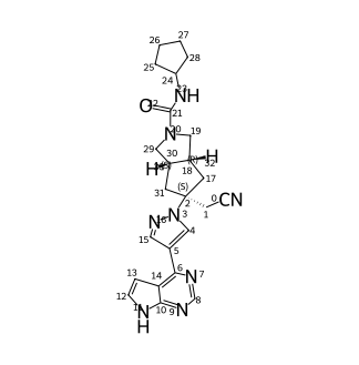 N#CC[C@@]1(n2cc(-c3ncnc4[nH]ccc34)cn2)C[C@H]2CN(C(=O)NC3CCCC3)C[C@H]2C1